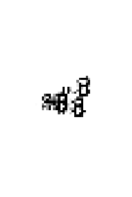 Oc1cccc2cccnc12.Oc1cccc2cccnc12.Oc1cccc2cccnc12.[Ga].[Ga].[Ga]